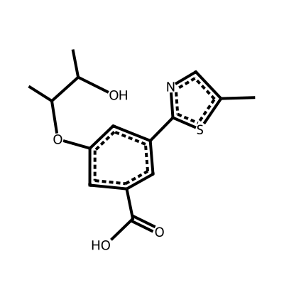 Cc1cnc(-c2cc(OC(C)C(C)O)cc(C(=O)O)c2)s1